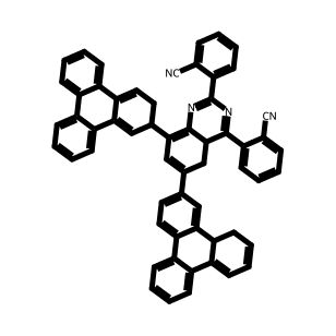 N#Cc1ccccc1C1=NC2=C(C3C=c4c(c5ccccc5c5ccccc45)=CC3)C=C(c3ccc4c(c3)C3CC=CC=C3c3ccccc3-4)CC2C(c2ccccc2C#N)=N1